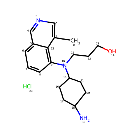 Cc1cncc2cccc(N(CCCO)C3CCC(N)CC3)c12.Cl